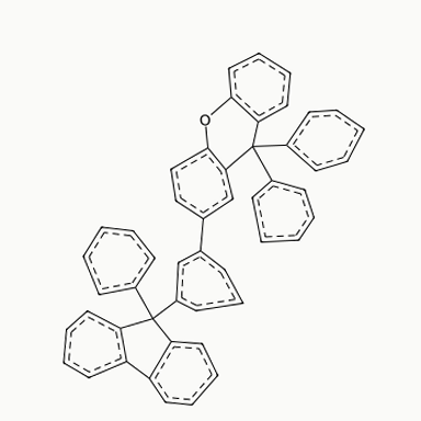 c1ccc(C2(c3ccccc3)c3ccccc3Oc3ccc(-c4cccc(C5(c6ccccc6)c6ccccc6-c6ccccc65)c4)cc32)cc1